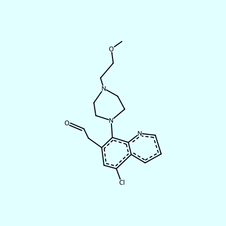 COCCN1CCN(c2c(CC=O)cc(Cl)c3cccnc23)CC1